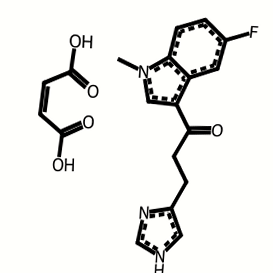 Cn1cc(C(=O)CCc2c[nH]cn2)c2cc(F)ccc21.O=C(O)/C=C\C(=O)O